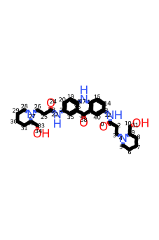 O=C(CCN1CCCCC1CO)Nc1ccc2[nH]c3ccc(NC(=O)CCN4CCCCC4CO)cc3c(=O)c2c1